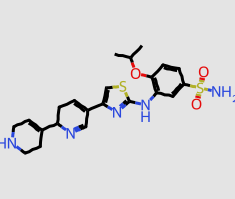 CC(C)Oc1ccc(S(N)(=O)=O)cc1Nc1nc(C2=CCC(C3=CCNCC3)N=C2)cs1